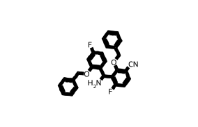 N#Cc1ccc(F)c(C(N)c2ccc(F)cc2OCc2ccccc2)c1OCc1ccccc1